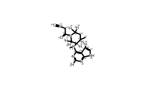 [2H]c1nc(N(C)[C@@]2([2H])C([2H])([2H])N(C(=O)C[N+]#[C-])C([2H])([2H])C[C@@]2([2H])C)c2c([2H])c[nH]c2n1